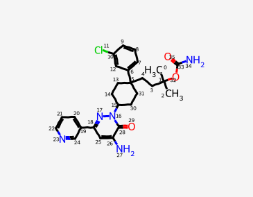 CC(C)(CCC1(c2cccc(Cl)c2)CCC(n2nc(-c3cccnc3)cc(N)c2=O)CC1)OC(N)=O